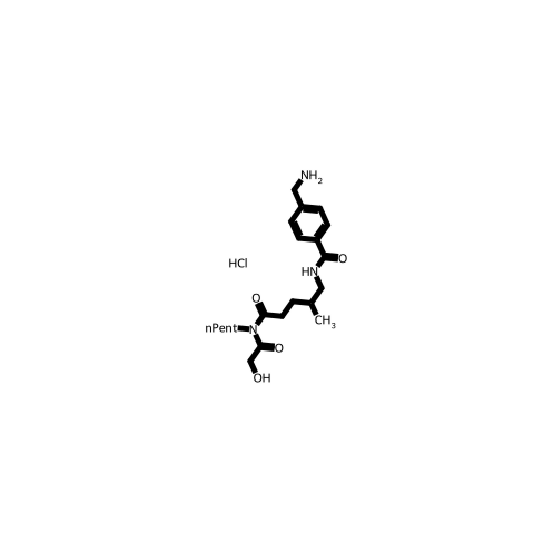 CCCCCN(C(=O)CO)C(=O)CCC(C)CNC(=O)c1ccc(CN)cc1.Cl